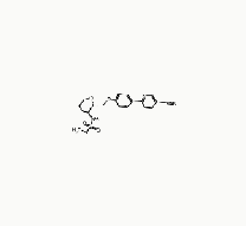 CCS(=O)(=O)N[C@H]1CCCO[C@@H]1COc1ccc(-c2ccc(C#N)cn2)cc1